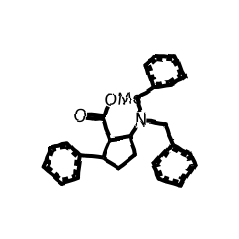 COC(=O)C1C(c2ccccc2)CCC1N(Cc1ccccc1)Cc1ccccc1